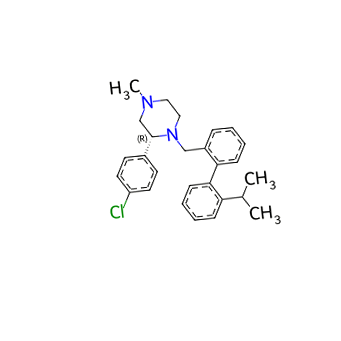 CC(C)c1ccccc1-c1ccccc1CN1CCN(C)C[C@H]1c1ccc(Cl)cc1